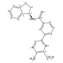 Nc1ncc(-c2cccc(C(=O)N[C@@H]3CCc4ccccc43)c2)nc1C(=O)O